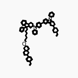 C=Cc1ccc(C2C=CC3=C(C=C[C@@H](OCCCCCCCC4(c5ccccc5)C5=CC(N(c6ccccc6)c6ccc(-c7ccc8c(c7)c7c(n8-c8ccccc8)=CCC(C8=CCC(C=C)CC8)C=7)cc6)CCC5c5ccccc54)C3)C2)cc1